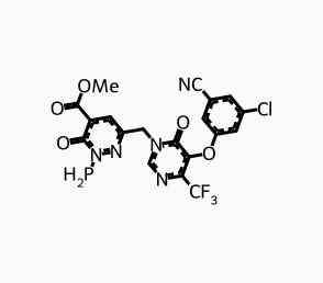 COC(=O)c1cc(Cn2cnc(C(F)(F)F)c(Oc3cc(Cl)cc(C#N)c3)c2=O)nn(P)c1=O